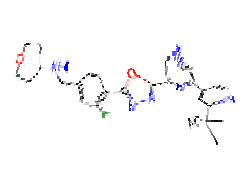 CC(C)(C#N)c1cc(-c2cncc(-c3nnc(-c4ccc(CNC5CCOCC5)cc4F)o3)n2)ccn1